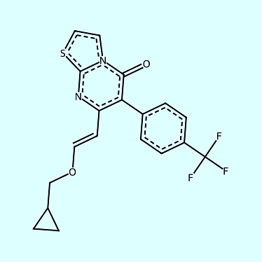 O=c1c(-c2ccc(C(F)(F)F)cc2)c(C=COCC2CC2)nc2sccn12